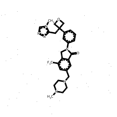 CN1CCN(Cc2cc3c(c(C(F)(F)F)c2)CN(c2cccc(C4(Cc5nncn5C)COC4)c2)C3=O)CC1